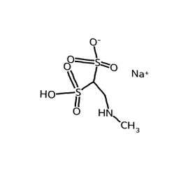 CNCC(S(=O)(=O)[O-])S(=O)(=O)O.[Na+]